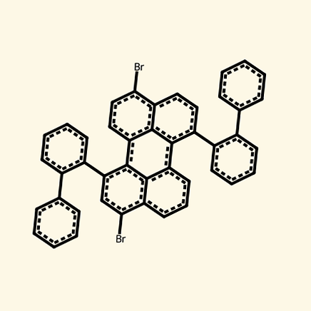 Brc1ccc2c3c(-c4ccccc4-c4ccccc4)cc(Br)c4cccc(c5c(-c6ccccc6-c6ccccc6)ccc1c25)c43